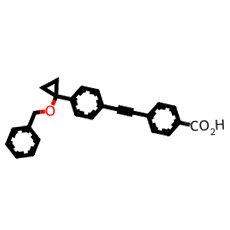 O=C(O)c1ccc(C#Cc2ccc(C3(OCc4ccccc4)CC3)cc2)cc1